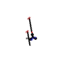 CCCCCCCCCCCCCCCCCC(=O)[O-].CCCCCCCCCCCCCCCCCC(=O)[O-].Cc1ccc(-c2cc(-c3ccccn3)nc(-c3ccccn3)c2)cc1.[Mn+2]